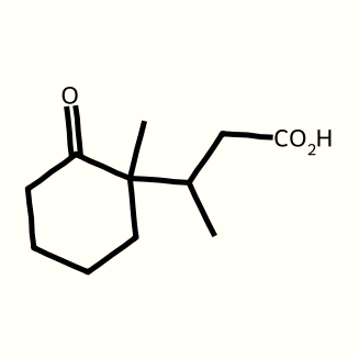 CC(CC(=O)O)C1(C)CCCCC1=O